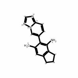 Cc1cc2c(c(N)c1-c1ccc3ncnn3c1)CCC2